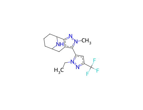 CCn1nc(C(F)(F)F)cc1-c1c2c(nn1C)C1CCCC(C2)N1